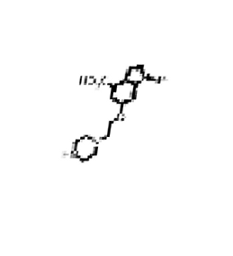 CC(C)n1ccc2c(C(=O)O)cc(OCCN3CCNCC3)cc21